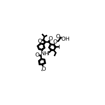 CCc1c(I)cc(C(=O)c2c(C(C)C)oc3ccc(NC(=O)c4ccc(OC)cc4)cc23)c(OCC(=O)O)c1I